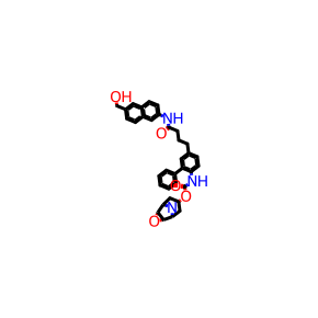 CN1C2CC(OC(=O)Nc3ccc(CCCC(=O)Nc4ccc5cc(CO)ccc5c4)cc3-c3ccccc3)CC1C1OC12